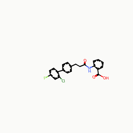 O=C(CCc1ccc(-c2ccc(F)cc2Cl)cc1)Nc1ccccc1C(=O)O